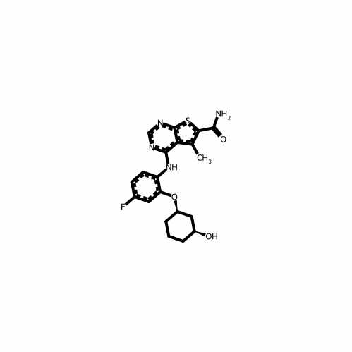 Cc1c(C(N)=O)sc2ncnc(Nc3ccc(F)cc3O[C@@H]3CCC[C@H](O)C3)c12